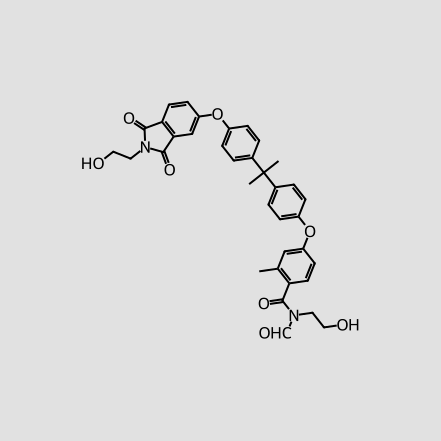 Cc1cc(Oc2ccc(C(C)(C)c3ccc(Oc4ccc5c(c4)C(=O)N(CCO)C5=O)cc3)cc2)ccc1C(=O)N(C=O)CCO